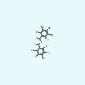 CCC(OC(CC)c1c(Br)c(Br)c(Br)c(Br)c1Br)c1c(Br)c(Br)c(Br)c(Br)c1Br